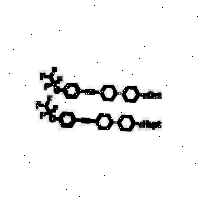 CCCCCCCC[C@H]1CC[C@H](C2CCC(C#Cc3ccc(OC(F)(F)C(F)F)cc3)CC2)CC1.CCCCCCC[C@H]1CC[C@H](C2CCC(C#Cc3ccc(OC(F)(F)C(F)F)cc3)CC2)CC1